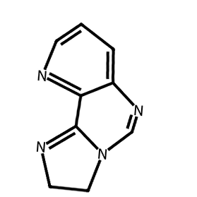 C1=Nc2cccnc2C2=NCCN12